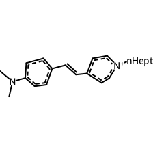 CCCCCCC[n+]1ccc(/C=C/c2ccc(N(C)C)cc2)cc1